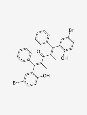 CC(C(=O)C(C)=C(c1ccccc1)c1cc(Br)ccc1O)=C(c1ccccc1)c1cc(Br)ccc1O